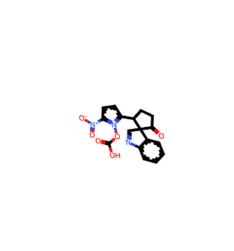 O=C(O)On1c(C2CCC(=O)C23C=Nc2ccccc23)ccc1[N+](=O)[O-]